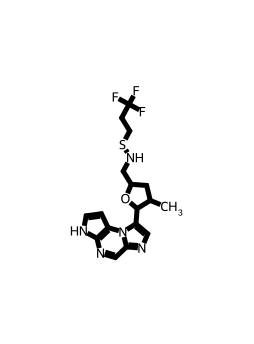 CC1CC(CNSCCC(F)(F)F)OC1c1cnc2cnc3[nH]ccc3n12